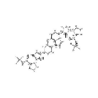 CC(C)(C)OC(=O)N1CCC[C@H]1c1ncc(-c2ccc3c(c2)Oc2ccc(-c4cnc([C@@H]5CCCN5C(=O)OC(C)(C)C)[nH]4)c4cnn-3c24)[nH]1